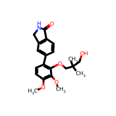 COc1ccc(-c2ccc3c(c2)CNC3=O)c(OCC(C)(C)CO)c1OC